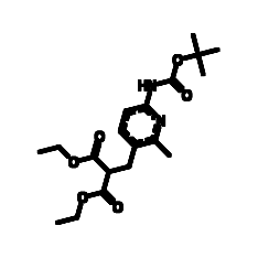 CCOC(=O)C(Cc1ccc(NC(=O)OC(C)(C)C)nc1C)C(=O)OCC